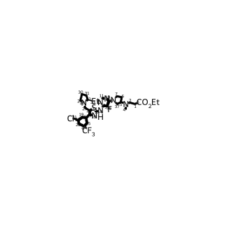 CCOC(=O)CCN(C)C1CCN(c2ncnc(Nc3nc(-c4cc(Cl)cc(C(F)(F)F)c4)c(CN4CCC[C@H]4CC)s3)c2F)C1